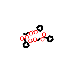 CC(COCOc1ccccc1)OC(=O)c1ccccc1OCOCCOC(=O)c1ccccc1